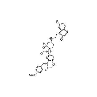 COc1ccc(CN2C(=O)COc3ccc(N4C(=O)O[C@@H]5C[C@@H](NCCn6c(=O)cnc7ccc(F)cc76)CC[C@@H]54)nc32)cc1